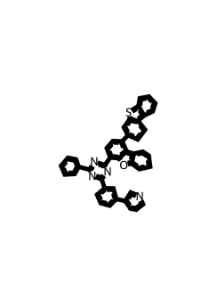 c1ccc(-c2nc(-c3cccc(-c4cccnc4)c3)nc(-c3ccc(-c4ccc5c(c4)sc4ccccc45)c4c3oc3ccccc34)n2)cc1